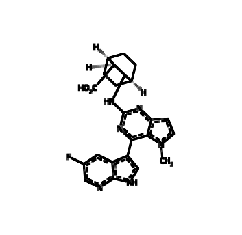 Cn1ccc2nc(NC3[C@H]4CC[C@H](CC4)[C@@H]3C(=O)O)nc(-c3c[nH]c4ncc(F)cc34)c21